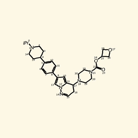 CC(C)N1CCC(c2ccc(-c3cc4n(c3)N=CCC4N3CCN(C(=O)OC4COC4)CC3)cc2)CC1